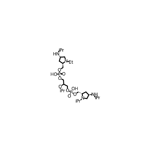 CCN1C[C@@H](NC(C)C)C[C@@H]1COP(=O)(O)OCC(COP(=O)(O)OC[C@@H]1C[C@@H](NC(C)C)CN1C(C)C)OC(C)C